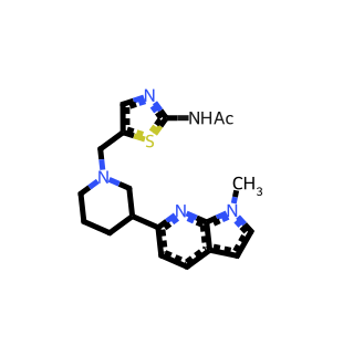 CC(=O)Nc1ncc(CN2CCCC(c3ccc4ccn(C)c4n3)C2)s1